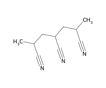 CC(C#N)CC(C#N)CC(C)C#N